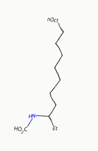 CCCCCCCCCCCCCCCC(CC)NC(=O)O